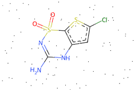 NC1=NS(=O)(=O)c2sc(Cl)cc2N1